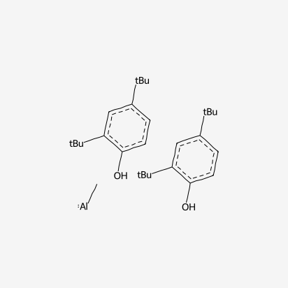 CC(C)(C)c1ccc(O)c(C(C)(C)C)c1.CC(C)(C)c1ccc(O)c(C(C)(C)C)c1.[CH3][Al]